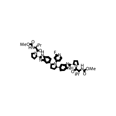 COC(=O)NC(C(=O)N1CCC[C@H]1c1nc2cc([C@H]3CC[C@H](c4ccc5[nH]c([C@@H]6CCCN6C(=O)[C@@H](NC(=O)OC)C(C)C)nc5c4)N3c3ccnc(F)c3)ccc2[nH]1)C(C)C